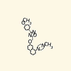 COc1ccc(-c2noc(COc3ccc4cccc(N5CCN(C)CC5)c4c3)n2)cc1